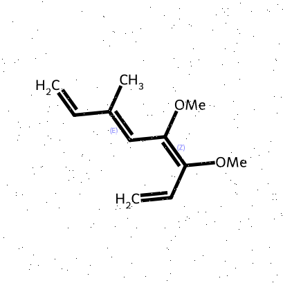 C=C/C(OC)=C(\C=C(/C)C=C)OC